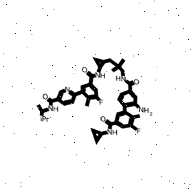 Cc1c(F)cc(C(=O)NC2CC2CC(C)(C)CNC(=O)c2ccc(-c3cc(C(=O)NC4CC4)cc(F)c3C)c(N)c2)cc1-c1ccc(C(=O)NC(C)C(C)C)cn1